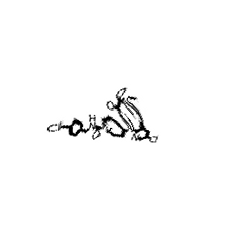 Cn1c(=O)c(=O)n(C2CCN(C(=O)NCc3ccc(Cl)cc3)CC2)c2ncc(Cl)cc21